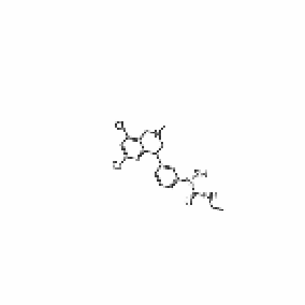 CCNC(=O)N(S)c1cccc(C2CN(C)Cc3c(Cl)cc(Cl)cc32)c1